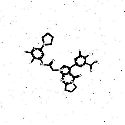 NC(=O)c1cc(-c2cn(CC(=O)Nc3cc(N4CCCC4)nc(F)c3Cl)c3nc4n(c(=O)c23)CCC4)cc(F)c1O